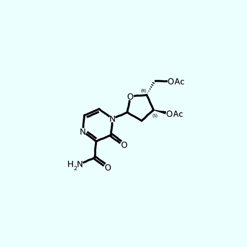 CC(=O)OC[C@H]1OC(n2ccnc(C(N)=O)c2=O)C[C@@H]1OC(C)=O